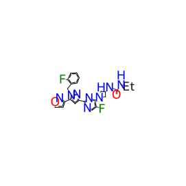 CCNC(=O)NC1CN(c2nc(-c3cc(-c4ccon4)n(Cc4ccccc4F)n3)ncc2F)C1